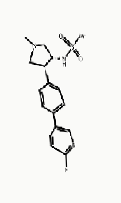 CC(C)S(=O)(=O)N[C@H]1CN(C)C[C@@H]1c1ccc(-c2ccc(F)nc2)cc1